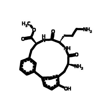 COC(=O)[C@@H]1Cc2cccc(c2)-c2ccc(O)c(c2)C[C@H](N)C(=O)N[C@@H](CCCN)C(=O)N1